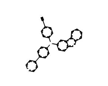 N#Cc1ccc(N(c2ccc(-c3ccncc3)cc2)c2ccc3sc4ccccc4c3c2)cc1